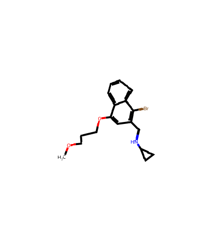 COCCCOc1cc(CNC2CC2)c(Br)c2ccccc12